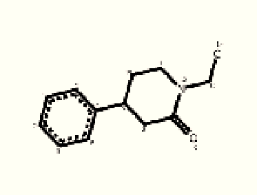 O=C1CC(c2ccccc2)CCN1CCl